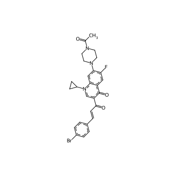 CC(=O)N1CCN(c2cc3c(cc2F)c(=O)c(C(=O)C=Cc2ccc(Br)cc2)cn3C2CC2)CC1